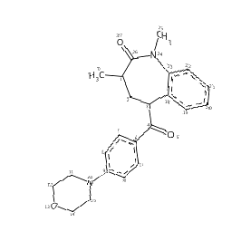 CC1CC(C(=O)c2ccc(N3CCOCC3)cc2)c2ccccc2N(C)C1=O